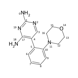 Nc1ncc(-c2ccccc2N2CCOCC2)c(N)n1